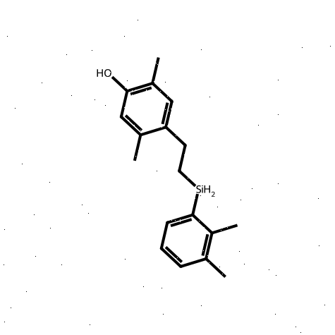 Cc1cc(CC[SiH2]c2cccc(C)c2C)c(C)cc1O